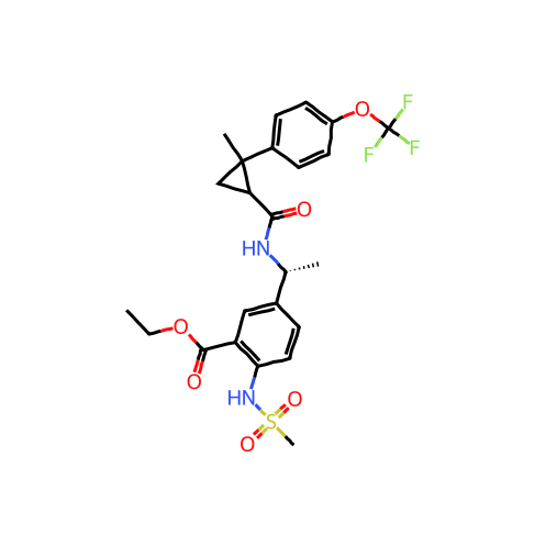 CCOC(=O)c1cc([C@@H](C)NC(=O)C2CC2(C)c2ccc(OC(F)(F)F)cc2)ccc1NS(C)(=O)=O